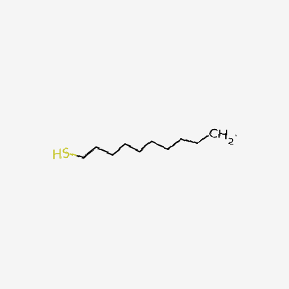 [CH2]CCCCCCCCCS